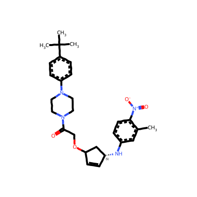 Cc1cc(N[C@@H]2C=CC(OCC(=O)N3CCN(c4ccc(C(C)(C)C)cc4)CC3)C2)ccc1[N+](=O)[O-]